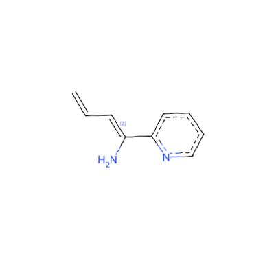 C=C/C=C(\N)c1ccccn1